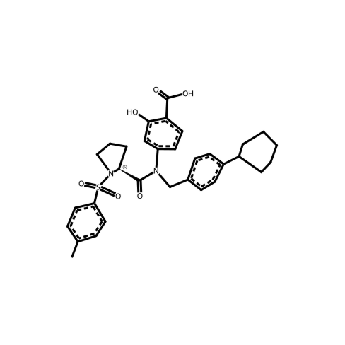 Cc1ccc(S(=O)(=O)N2CCC[C@H]2C(=O)N(Cc2ccc(C3CCCCC3)cc2)c2ccc(C(=O)O)c(O)c2)cc1